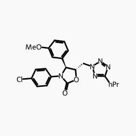 CCCc1nnn(C[C@@H]2OC(=O)N(c3ccc(Cl)cc3)[C@H]2c2cccc(OC)c2)n1